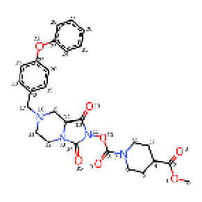 COC(=O)C1CCN(C(=O)ON2C(=O)C3CN(Cc4ccc(Oc5ccccc5)cc4)CCN3C2=O)CC1